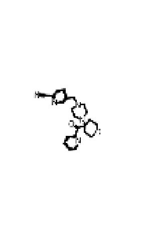 N#Cc1ccc(CN2CCN(C3(C(=O)c4ccccn4)CCOCC3)CC2)cn1